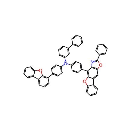 c1ccc(-c2cccc(N(c3ccc(-c4cccc5c4oc4ccccc45)cc3)c3ccc(-c4c5nc(-c6ccccc6)oc5cc5c4oc4ccccc45)cc3)c2)cc1